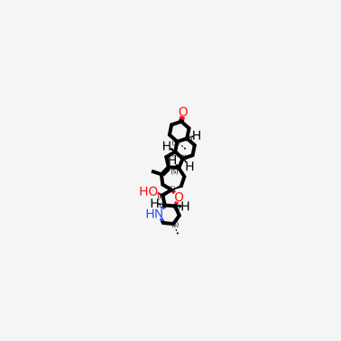 CC1=C2C[C@H]3[C@@H](CC[C@@H]4CC(=O)CC[C@@]43C)[C@@H]2CC[C@@]2(C1)O[C@@H]1C[C@H](C)CN[C@H]1[C@H]2O